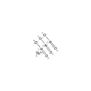 [O]=[Al][O-].[O]=[Al][O-].[O]=[Al][O-].[Tb+3]